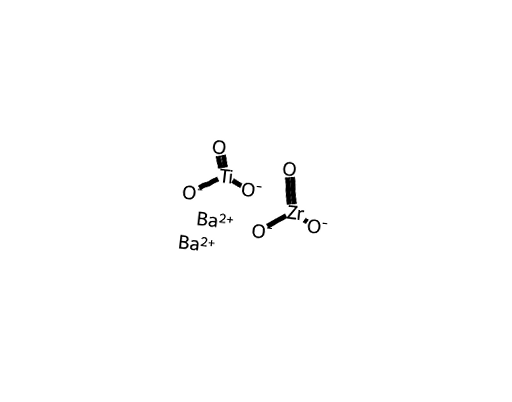 [Ba+2].[Ba+2].[O]=[Ti]([O-])[O-].[O]=[Zr]([O-])[O-]